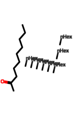 CCCCCCC.CCCCCCC.CCCCCCC.CCCCCCC.CCCCCCC.CCCCCCC.CCCCCCC.CCCCCCC.CCCCCCCCC(C)=O